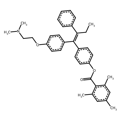 CCC(=C(c1ccc(OCCN(C)C)cc1)c1ccc(OC(=O)c2c(C)cc(C)cc2C)cc1)c1ccccc1